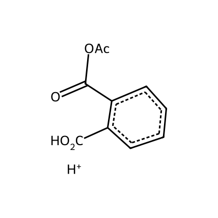 CC(=O)OC(=O)c1ccccc1C(=O)O.[H+]